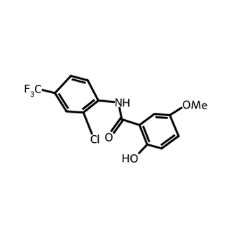 COc1ccc(O)c(C(=O)Nc2ccc(C(F)(F)F)cc2Cl)c1